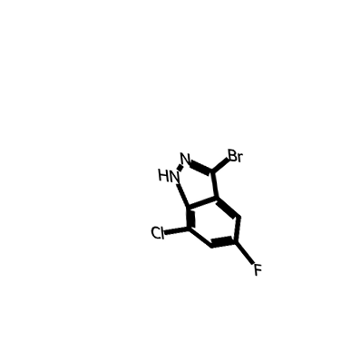 Fc1cc(Cl)c2[nH]nc(Br)c2c1